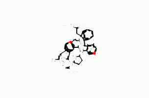 Cc1cccc(N(C2CCCN2[C@@]2(C(=O)NC(=O)O)c3ccc(cc3)C[C@@]2(O)CC(N)=O)C2CCCN2[C@@]2(C(=O)NC(=O)O)c3ccc(cc3)C[C@@]2(O)CC(N)=O)c1C